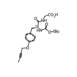 CC#CCOc1ccc(C[C@H](NC(=O)OC(C)(C)C)C(=O)NCC(=O)O)cc1